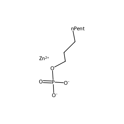 CCCCCCCCOP(=O)([O-])[O-].[Zn+2]